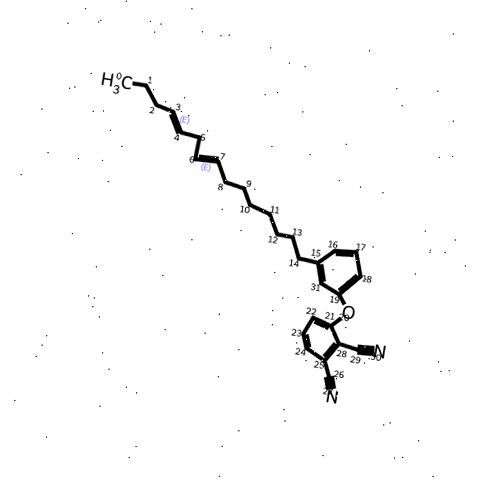 CCC/C=C/C/C=C/CCCCCCCc1cccc(Oc2cccc(C#N)c2C#N)c1